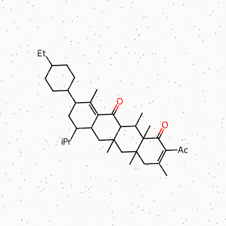 CCC1CCC(C2CC(C(C)C)C3CC4(C)CC5(C)CC(C)=C(C(C)=O)C(=O)C5(C)C(C)C4C(=O)C3=C2C)CC1